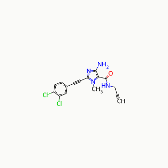 C#CCNC(=O)c1c(N)nc(C#Cc2ccc(Cl)c(Cl)c2)n1C